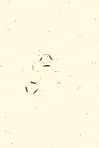 Cc1ccccc1CN1c2c(N3CCC[C@@H](N)C3)ccnc2N(C)C1S